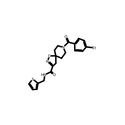 CCc1ccc(C(=O)N2CCC3(CC2)CC(C(=O)NCc2cccs2)=NO3)cc1